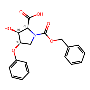 O=C(O)[C@@H]1[C@H](O)[C@H](Oc2ccccc2)CN1C(=O)OCc1ccccc1